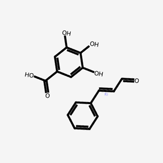 O=C(O)c1cc(O)c(O)c(O)c1.O=C/C=C/c1ccccc1